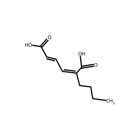 CCCCC(=CC=CC(=O)O)C(=O)O